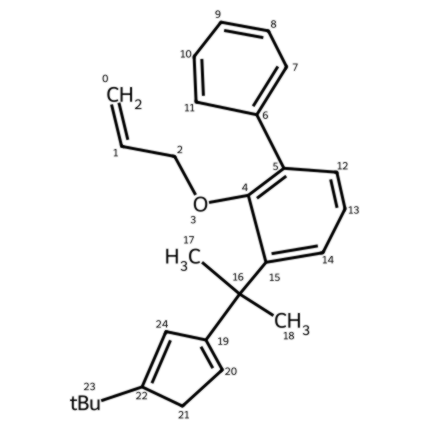 C=CCOc1c(-c2ccccc2)cccc1C(C)(C)C1=CCC(C(C)(C)C)=C1